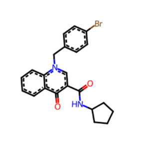 O=C(NC1CCCC1)c1cn(Cc2ccc(Br)cc2)c2ccccc2c1=O